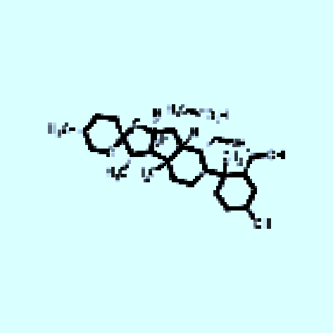 CC(=O)O.C[C@@H]1CC[C@@]2(OC1)O[C@H]1C[C@H]3[C@H](CN)[C@@H]([C@@]4(C)CC[C@H](O)C[C@@H]4CO)CC[C@]3(C)[C@H]1[C@@H]2C